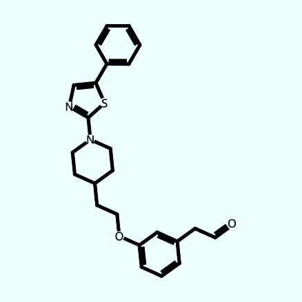 O=CCc1cccc(OCCC2CCN(c3ncc(-c4ccccc4)s3)CC2)c1